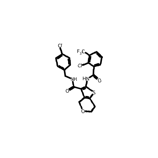 O=C(Nc1sc2c(c1C(=O)NCc1ccc(Cl)cc1)COCC2)c1cccc(C(F)(F)F)c1Cl